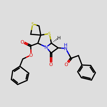 O=C(Cc1ccccc1)NC1C(=O)N2C(C(=O)OCc3ccccc3)C3(CSC3)S[C@@H]12